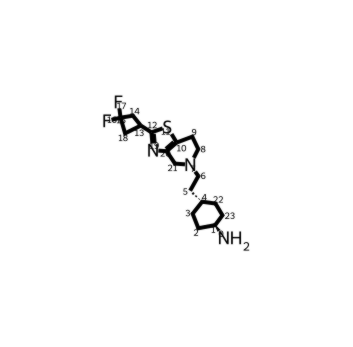 N[C@H]1CC[C@H](CCN2CCc3sc(C4CC(F)(F)C4)nc3C2)CC1